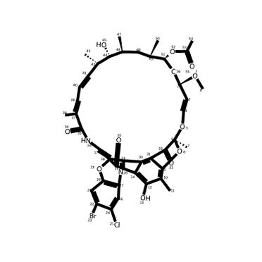 CO[C@H]1/C=C/O[C@@]2(C)Oc3c(C)c(O)c4c(=O)c(c5oc6cc(Br)c(Cl)cc6nc-5c4c3C2=O)NC(=O)/C(C)=C\C=C\[C@H](C)[C@H](O)[C@@H](C)C[C@@H](C)[C@H](OC(C)=O)C1